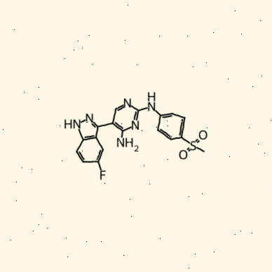 CS(=O)(=O)c1ccc(Nc2ncc(-c3n[nH]c4ccc(F)cc34)c(N)n2)cc1